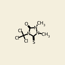 Cn1c(=O)n(C(Cl)(Cl)Cl)c(=S)n1C